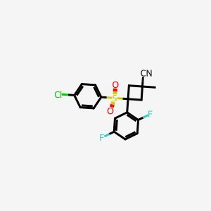 CC1(C#N)CC(c2cc(F)ccc2F)(S(=O)(=O)c2ccc(Cl)cc2)C1